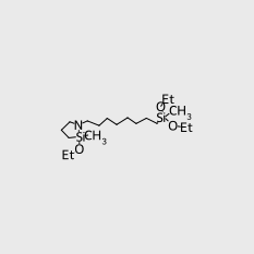 CCO[Si](C)(CCCCCCCCN1CCC[Si]1(C)OCC)OCC